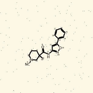 N#CN1CCCC(F)(C(=O)Nc2cc(-c3ccccc3)on2)C1